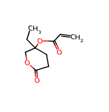 C=CC(=O)OC1(CC)CCC(=O)OC1